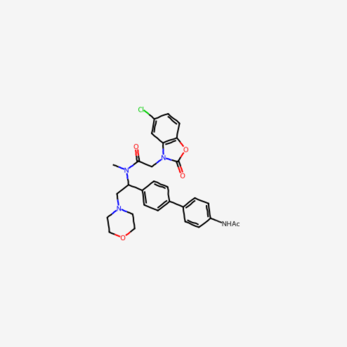 CC(=O)Nc1ccc(-c2ccc(C(CN3CCOCC3)N(C)C(=O)Cn3c(=O)oc4ccc(Cl)cc43)cc2)cc1